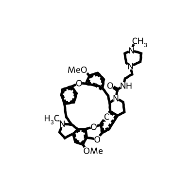 COc1ccc2cc1Oc1ccc(cc1)CC1c3c(cc(OC)c4c3Oc3cc5c(cc3O4)CCN(C(=O)NCCN3CCN(C)CC3)C5C2)CCN1C